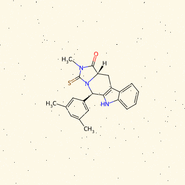 Cc1cc(C)cc([C@@H]2c3[nH]c4ccccc4c3C[C@H]3C(=O)N(C)C(=S)N23)c1